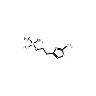 Cc1nc(CCO[Si](C)(C)C(C)(C)C)co1